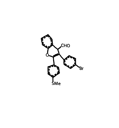 CSc1ccc(C2=C(c3ccc(Br)cc3)C(C=O)c3ccccc3O2)cc1